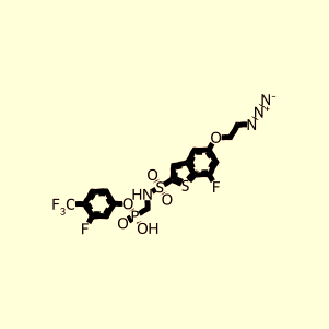 [N-]=[N+]=NCCOc1cc(F)c2sc(S(=O)(=O)NCP(=O)(O)Oc3ccc(C(F)(F)F)c(F)c3)cc2c1